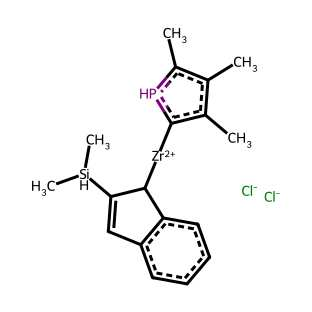 Cc1[pH][c]([Zr+2][CH]2C([SiH](C)C)=Cc3ccccc32)c(C)c1C.[Cl-].[Cl-]